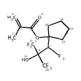 C=C(C)C(=O)OC1(C(F)C(O)(C(F)(F)F)C(F)(F)F)CCCC1